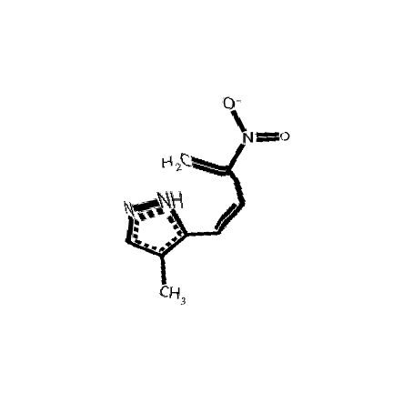 C=C(/C=C\c1[nH]ncc1C)[N+](=O)[O-]